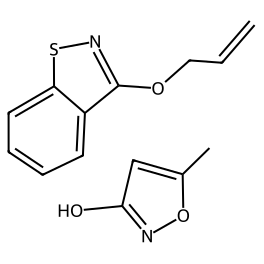 C=CCOc1nsc2ccccc12.Cc1cc(O)no1